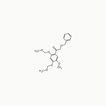 COCOc1cc(OCOC)c(C(=O)COCc2ccccc2)cc1OC